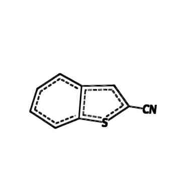 N#Cc1cc2ccccc2s1